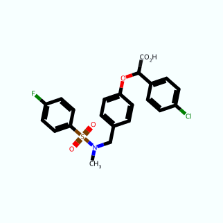 CN(Cc1ccc(OC(C(=O)O)c2ccc(Cl)cc2)cc1)S(=O)(=O)c1ccc(F)cc1